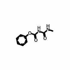 CNC(=O)NC(=O)Oc1ccccc1